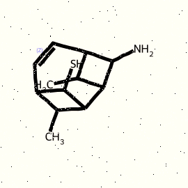 CC1C2/C=C\C3C(C)C(C3S)C1C2N